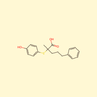 CC(CCCc1ccccc1)(Sc1ccc(O)cc1)C(=O)O